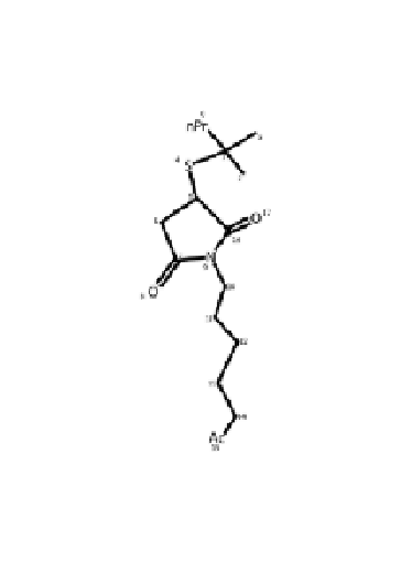 CCCC(C)(C)SC1CC(=O)N(CCCCCC(C)=O)C1=O